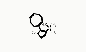 C[Si](C)(C)C1=C(C2=CCCC=CCC2)CC=C1.[Co]